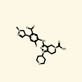 CCCC(=O)N1CCc2c(c(Nc3cc(C(F)F)c(C4C=NN(C)C4)cc3F)nn2C2CCOCC2)C1